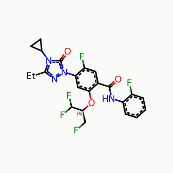 CCc1nn(-c2cc(O[C@@H](CF)C(F)F)c(C(=O)Nc3ccccc3F)cc2F)c(=O)n1C1CC1